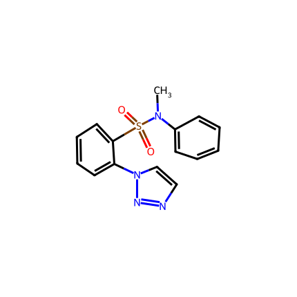 CN(c1ccccc1)S(=O)(=O)c1ccccc1-n1ccnn1